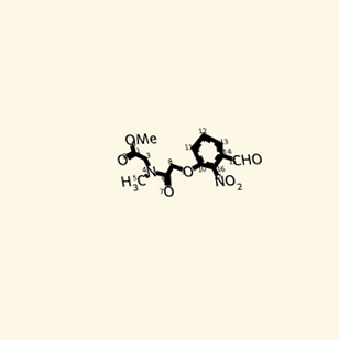 COC(=O)CN(C)C(=O)COc1cccc(C=O)c1[N+](=O)[O-]